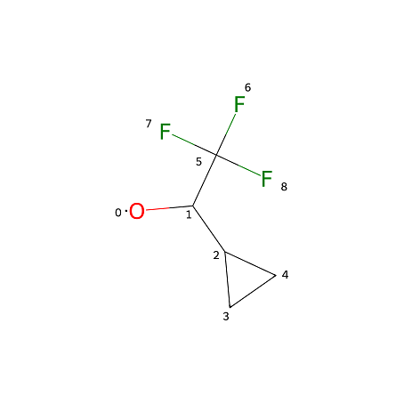 [O]C(C1CC1)C(F)(F)F